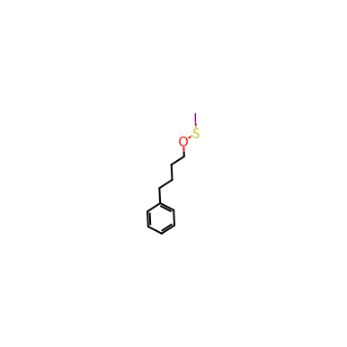 ISOCCCCc1ccccc1